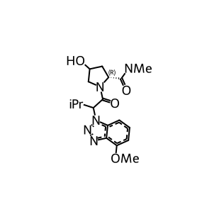 CNC(=O)[C@H]1CC(O)CN1C(=O)C(C(C)C)n1nnc2c(OC)cccc21